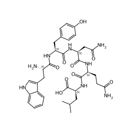 CC(C)C[C@H](NC(=O)[C@H](CCC(N)=O)NC(=O)[C@H](CC(N)=O)NC(=O)[C@H](Cc1ccc(O)cc1)NC(=O)[C@@H](N)Cc1c[nH]c2ccccc12)C(=O)O